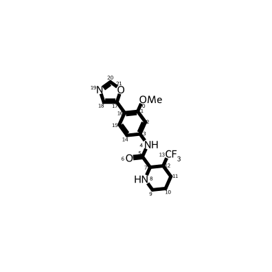 COc1cc(NC(=O)C2NCCCC2C(F)(F)F)ccc1-c1cnco1